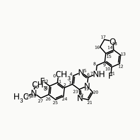 Cc1c(-c2cnc(NCc3c(F)ccc4c3CCO4)n3ccnc23)ccc(CN(C)C)c1F